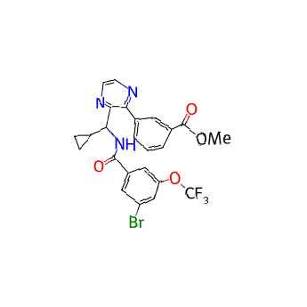 COC(=O)c1cccc(-c2nccnc2C(NC(=O)c2cc(Br)cc(OC(F)(F)F)c2)C2CC2)c1